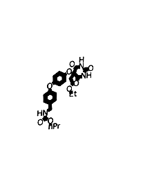 CCCOC(=O)NCc1ccc(Oc2ccc(OC3(CCOCC)C(=O)NC(=O)NC3=O)cc2)cc1